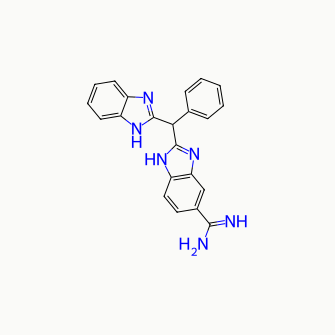 N=C(N)c1ccc2[nH]c(C(c3ccccc3)c3nc4ccccc4[nH]3)nc2c1